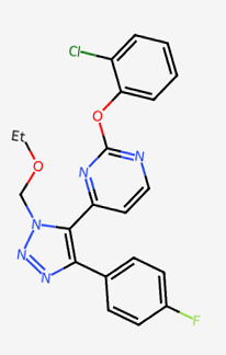 CCOCn1nnc(-c2ccc(F)cc2)c1-c1ccnc(Oc2ccccc2Cl)n1